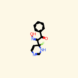 O=C(C(=NO)C1(F)C=CN=CN1)c1ccccc1